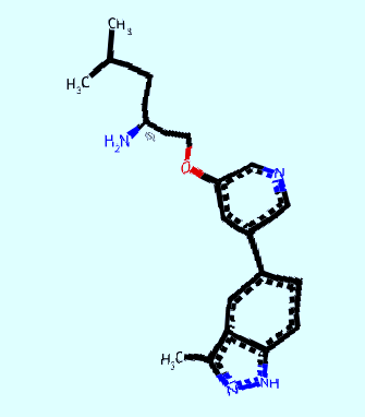 Cc1n[nH]c2ccc(-c3cncc(OC[C@@H](N)CC(C)C)c3)cc12